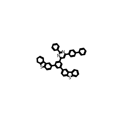 C1=Cc2c(sc3ccc(-c4cc(-c5ccc6sc7ccccc7c6c5)cc(-c5cc(-c6ccc(-c7ccccc7)cc6)nc(-c6ccccc6)n5)c4)cc23)CC1